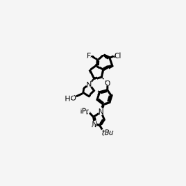 CC(C)c1nc(C(C)(C)C)cn1-c1ccc(O[C@H]2c3cc(Cl)cc(F)c3C[C@@H]2N2CCC(O)C2)cc1